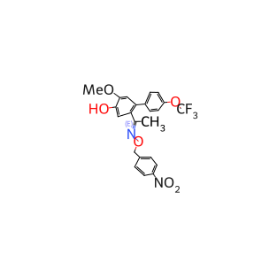 COc1cc(-c2ccc(OC(F)(F)F)cc2)c(/C(C)=N/OCc2ccc([N+](=O)[O-])cc2)cc1O